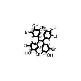 Oc1c(Cl)cc(C(c2cc(Cl)c(O)c(Br)c2)C(c2cc(Cl)c(O)c(Br)c2)c2cc(Cl)c(O)c(Br)c2)cc1Br